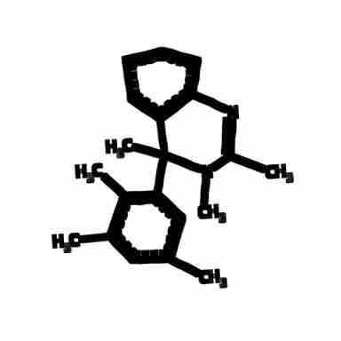 CC1=Nc2ccccc2C(C)(c2cc(C)cc(C)c2C)N1C